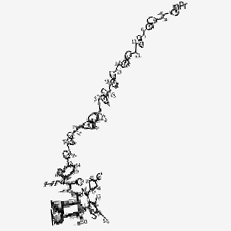 CCCOCCOOCCOOCCOOCCOOCCOOCCOOCCOOCCOc1ccc(NC(=O)C[C@@H]2N=C(c3ccc(Cl)cc3)c3c(sc(C)c3C)-n3c(C)nnc32)cn1